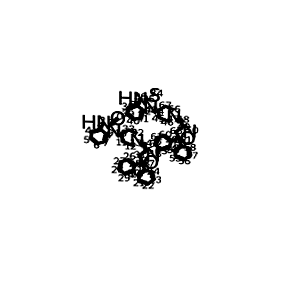 O=c1[nH]c2ccccc2n1C1CCN(CC2=NOC(c3ccccc3)(c3ccccc3)C2)CC1.S=c1[nH]c2ccccc2n1C1CCN(CC2=NOC(c3ccccc3)(c3ccccc3)C2)CC1